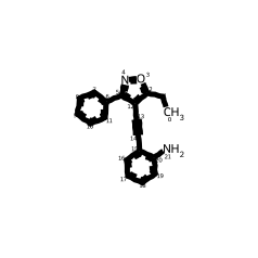 CCc1onc(-c2ccccc2)c1C#Cc1ccccc1N